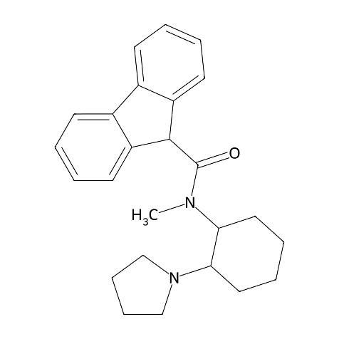 CN(C(=O)C1c2ccccc2-c2ccccc21)C1CCCCC1N1CCCC1